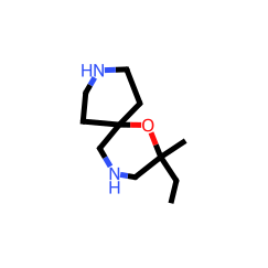 CCC1(C)CNCC2(CCNCC2)O1